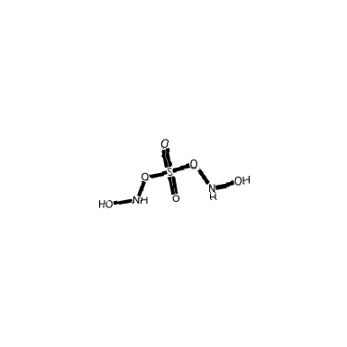 O=S(=O)(ONO)ONO